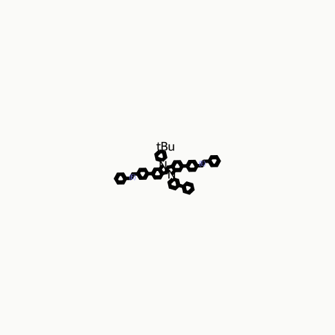 CC(C)(C)c1ccc(-n2c3cc(-c4ccc(/C=C/c5ccccc5)cc4)ccc3c3c2c2ccc(-c4ccc(/C=C/c5ccccc5)cc4)cc2n3-c2cccc(-c3ccccc3)c2)cc1